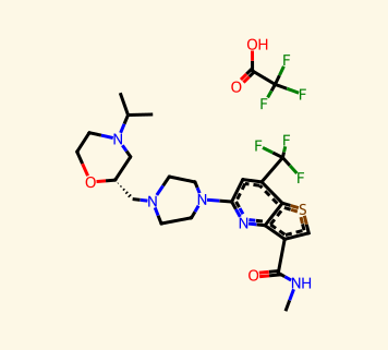 CNC(=O)c1csc2c(C(F)(F)F)cc(N3CCN(C[C@H]4CN(C(C)C)CCO4)CC3)nc12.O=C(O)C(F)(F)F